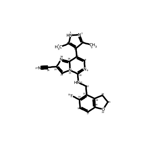 Cc1n[nH]c(C)c1-c1cnc(NCc2c(F)ccc3c2CCO3)n2cc(C#N)nc12